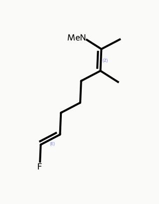 CN/C(C)=C(/C)CCC/C=C/F